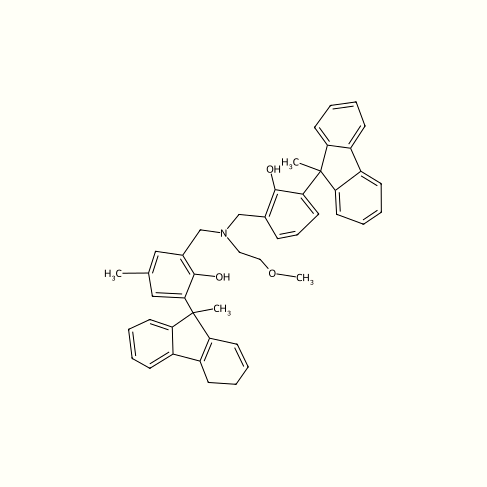 COCCN(Cc1cc(C)cc(C2(C)C3=C(CCC=C3)c3ccccc32)c1O)Cc1cccc(C2(C)c3ccccc3-c3ccccc32)c1O